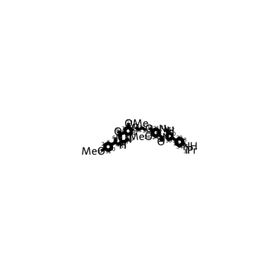 COc1ccc(C2=CN3C(=O)c4cc(OC)c(OCCCOc5cc6c(cc5OC)C(=O)N5C=C(c7ccc(NC(C)C)cc7)C[C@H]5C=N6)cc4N=C[C@@H]3C2)cc1